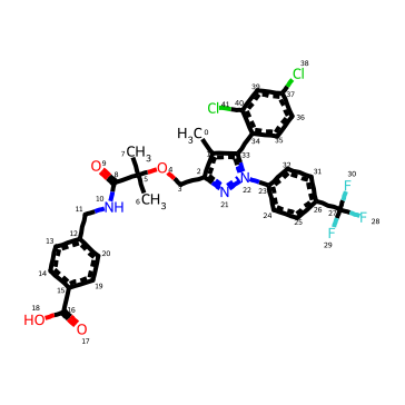 Cc1c(COC(C)(C)C(=O)NCc2ccc(C(=O)O)cc2)nn(-c2ccc(C(F)(F)F)cc2)c1-c1ccc(Cl)cc1Cl